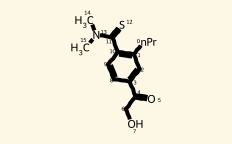 CCCc1cc(C(=O)CO)ccc1C(=S)N(C)C